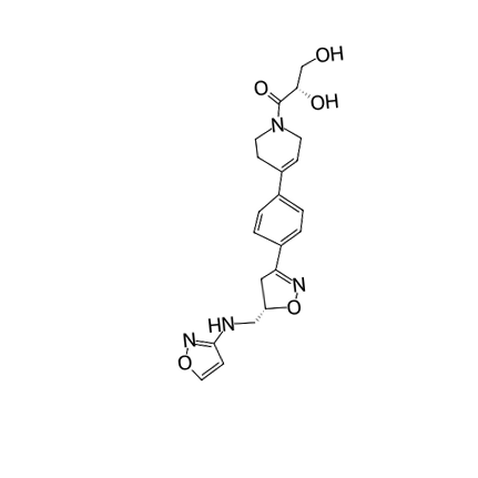 O=C([C@@H](O)CO)N1CC=C(c2ccc(C3=NO[C@H](CNc4ccon4)C3)cc2)CC1